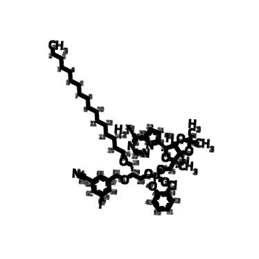 CCCCCCCCCCCCCCCCCOC[C@H](COP(=O)(OC[C@@]1(C)O[C@@H](c2ccc3c(N)ncnn23)[C@@H]2OC(C)(C)O[C@@H]21)Oc1ccccc1Cl)OCc1cc(F)cc(C#N)c1